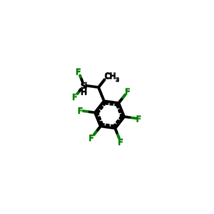 CC(c1c(F)c(F)c(F)c(F)c1F)[SiH](F)F